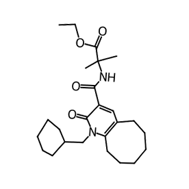 CCOC(=O)C(C)(C)NC(=O)c1cc2c(n(CC3CCCCC3)c1=O)CCCCCC2